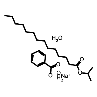 CCCCCCCCCCCCCC(=O)OC(C)C.O.O.O=C([O-])c1ccccc1.[Na+]